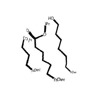 CCCCCCCCCCCCCC(=O)O.CCCCCCCCCCCCCCCC(=O)OC(C)C.CCCCCCCCCCCCCCCCO